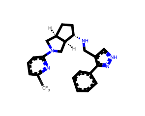 FC(F)(F)c1cccc(N2C[C@H]3CC[C@H](NCc4c[nH]nc4-c4ccccc4)[C@H]3C2)n1